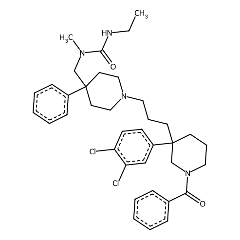 CCNC(=O)N(C)CC1(c2ccccc2)CCN(CCCC2(c3ccc(Cl)c(Cl)c3)CCCN(C(=O)c3ccccc3)C2)CC1